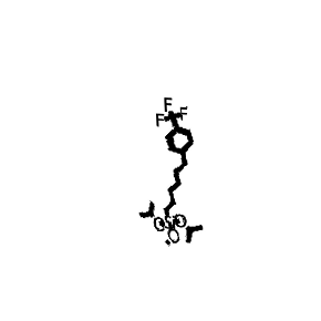 CO[Si](CCCCCCc1ccc(C(F)(F)F)cc1)(OC(C)C)OC(C)C